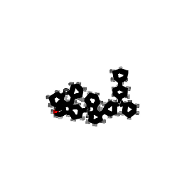 c1ccc(-c2ccc(N(c3ccccc3)c3ccc(-c4cccc5c4c4ccccc4n5-c4ccc5c(c4)C4(Cc6ccccc6Oc6ccccc64)c4ccccc4-5)cc3)cc2)cc1